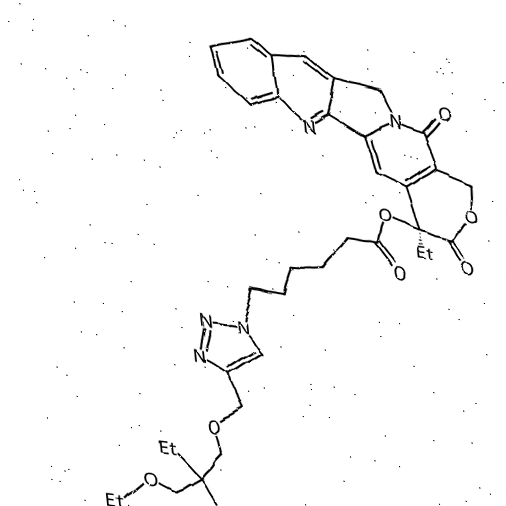 CCOCC(CC)(CC)COCc1cn(CCCCCC(=O)O[C@]2(CC)C(=O)OCc3c2cc2n(c3=O)Cc3cc4ccccc4nc3-2)nn1